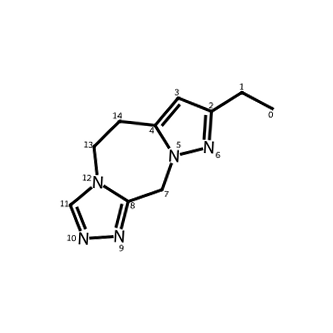 CCc1cc2n(n1)Cc1nncn1CC2